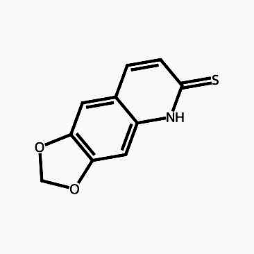 S=c1ccc2cc3c(cc2[nH]1)OCO3